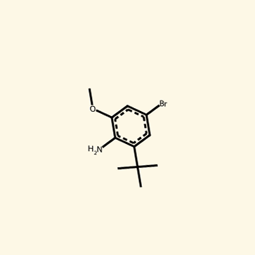 COc1cc(Br)cc(C(C)(C)C)c1N